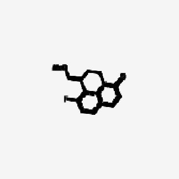 CO/C=C1\CCn2c(=O)ccc3ccc(F)c1c32